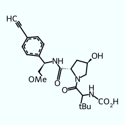 C#Cc1ccc([C@H](COC)NC(=O)[C@@H]2C[C@@H](O)CN2C(=O)C(NC(=O)O)C(C)(C)C)cc1